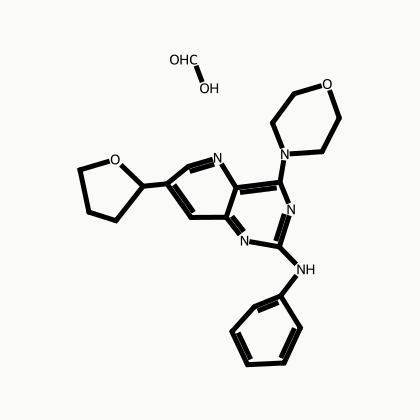 O=CO.c1ccc(Nc2nc(N3CCOCC3)c3ncc(C4CCCO4)cc3n2)cc1